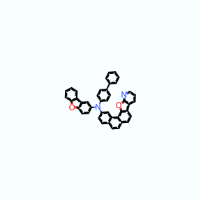 c1ccc(-c2ccc(N(c3ccc4oc5ccccc5c4c3)c3ccc4ccc5ccc6c7cccnc7oc6c5c4c3)cc2)cc1